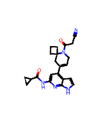 N#CCC(=O)N1CC=C(c2cc(NC(=O)C3CC3)nc3[nH]ccc23)CC12CCC2